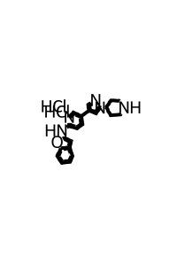 Cl.Cl.c1ccc2oc(Nc3ccc(-c4cnn(C5CCNCC5)c4)cn3)cc2c1